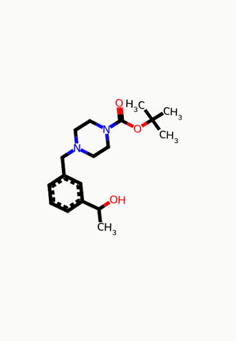 CC(O)c1cccc(CN2CCN(C(=O)OC(C)(C)C)CC2)c1